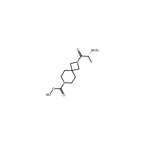 CC(=O)N[C@H](C)C(=O)N1CC2(CCN(C(=O)OC(C)(C)C)CC2)C1